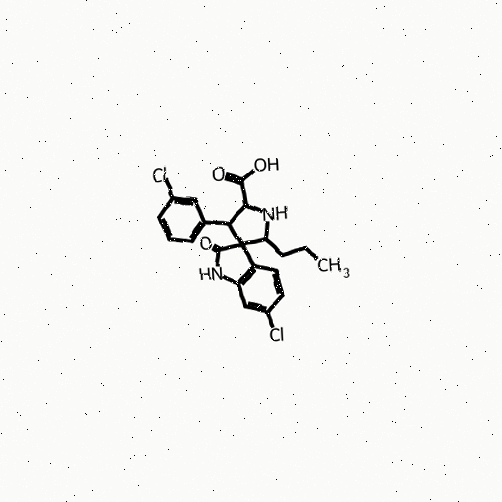 CCCC1NC(C(=O)O)C(c2cccc(Cl)c2)C12C(=O)Nc1cc(Cl)ccc12